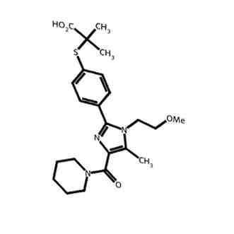 COCCn1c(-c2ccc(SC(C)(C)C(=O)O)cc2)nc(C(=O)N2CCCCC2)c1C